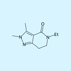 CCN1CCc2nn(C)c(C)c2C1=O